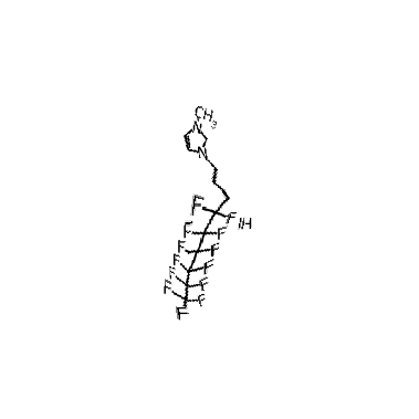 CN1C=CN(CCCC(F)(F)C(F)(F)C(F)(F)C(F)(F)C(F)(F)C(F)(F)F)C1.I